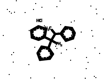 CC(c1ccccc1)C(P)(c1ccccc1)c1ccccc1.Cl